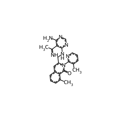 CC(=N)c1c(N)ncnc1NCc1cc2cccc(C)c2c(=O)n1-c1ncccc1C